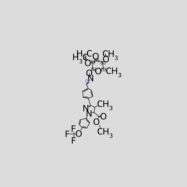 CCOC(=O)C1C(C)C(c2ccc(/C=N/O[C@@H]3O[C@@H](C)[C@H](OC)[C@@H](OC)[C@H]3OC)cc2)=NN1c1ccc(OC(F)(F)F)cc1